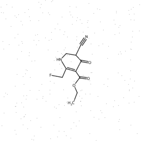 CCOC(=O)C1=C(CF)NCC(C#N)C1=O